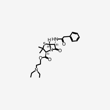 CCN(CC)CCOC(=O)[C@@H]1N2C(=O)[C@@H](NC(=O)Cc3ccccc3)[C@H]2SC1(C)C